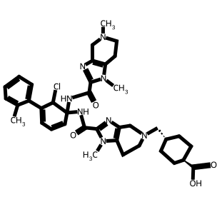 Cc1ccccc1C1=CC=CC(NC(=O)c2nc3c(n2C)CCN(C)C3)(NC(=O)c2nc3c(n2C)CCN(C[C@H]2CC[C@H](C(=O)O)CC2)C3)C1Cl